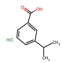 CC(C)c1cccc(C(=O)O)c1.Cl